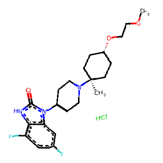 COCCO[C@H]1CC[C@](C)(N2CCC(n3c(=O)[nH]c4c(F)cc(F)cc43)CC2)CC1.Cl